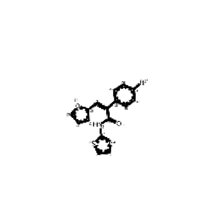 O=C(Nc1nccs1)C(=Cc1ccco1)c1ccc(Br)cc1